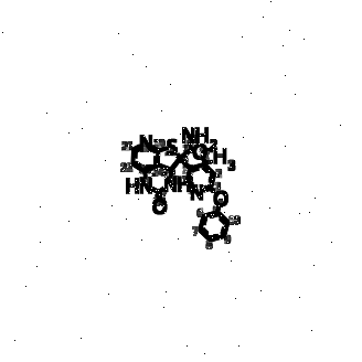 Cc1cc(Oc2ccccc2)ncc1C1(C(N)=O)Sc2nccc3c2C1NC(=O)N3